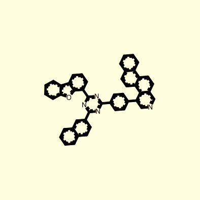 c1ccc2cc(-c3nc(-c4ccc(-c5cncc6ccc7c8ccccc8ccc7c56)cc4)nc(-c4cccc5c4oc4ccccc45)n3)ccc2c1